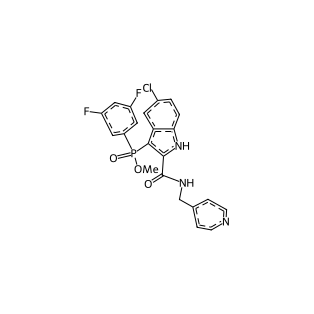 COP(=O)(c1cc(F)cc(F)c1)c1c(C(=O)NCc2ccncc2)[nH]c2ccc(Cl)cc12